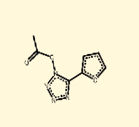 CC(=O)On1nnnc1-c1ccco1